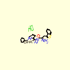 Cl.N[C@@H](Cc1csc2ccccc12)C(=O)N[C@H](C=O)C1CCCN1Cc1ccccc1